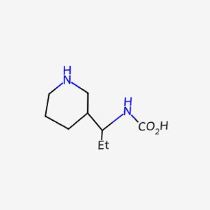 CCC(NC(=O)O)C1CCCNC1